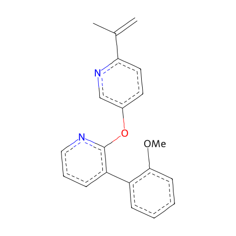 C=C(C)c1ccc(Oc2ncccc2-c2ccccc2OC)cn1